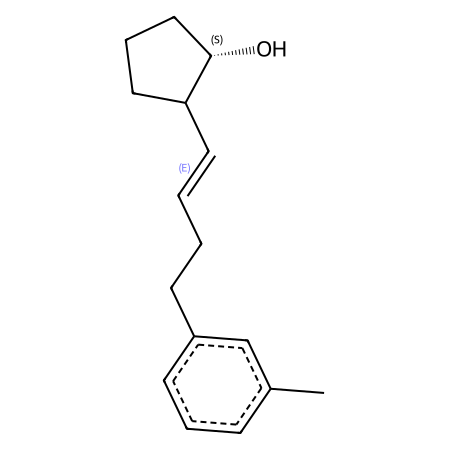 Cc1cccc(CC/C=C/C2CCC[C@@H]2O)c1